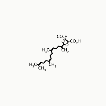 C=C(CCC=C(C)CCC=C(C)CCC=C(C)C)C1O[C@@H](C(=O)O)[C@H](C(=O)O)O1